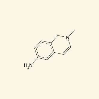 CN1C=Cc2cc(N)ccc2C1